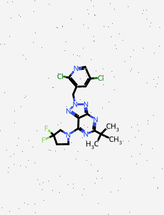 CC(C)(C)c1nc(N2CCC(F)(F)C2)c2nn(Cc3cc(Cl)cnc3Cl)nc2n1